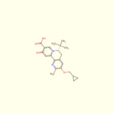 Cc1nc2c(cc1OCC1CC1)C[C@@H](C(C)(C)C)n1cc(C(=O)O)c(=O)cc1-2